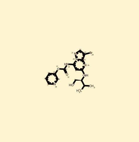 CC(C)[C@@H](CO)Nc1cc(NC(=O)Oc2cccnc2)n2ncc(Br)c2n1